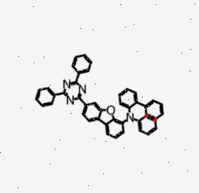 c1ccc(-c2nc(-c3ccccc3)nc(-c3ccc4c(c3)oc3c(N(c5ccccc5)c5ccccc5-c5ccccc5)cccc34)n2)cc1